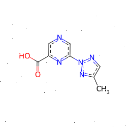 Cc1cnn(-c2cncc(C(=O)O)n2)n1